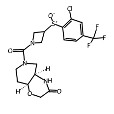 O=C1CO[C@H]2CCN(C(=O)N3CC([S+]([O-])c4ccc(C(F)(F)F)cc4Cl)C3)C[C@H]2N1